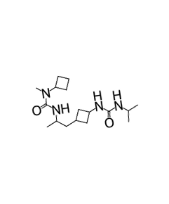 CC(C)NC(=O)NC1CC(CC(C)NC(=O)N(C)C2CCC2)C1